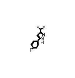 Fc1ccc(-c2cc(C(F)F)n[nH]2)cc1